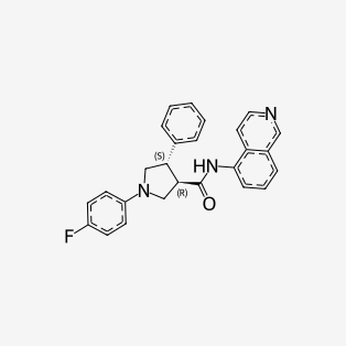 O=C(Nc1cccc2cnccc12)[C@H]1CN(c2ccc(F)cc2)C[C@@H]1c1ccccc1